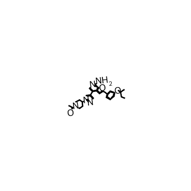 CCC(C)Oc1cccc(-c2cc3c(-c4cnn(C5CCN(C(C)=O)CC5)c4)cnc(N)c3o2)c1